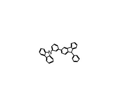 c1ccc(C2c3ccccc3-c3cc(-c4cccc(-n5c6ccccc6c6ccccc65)c4)ccc32)cc1